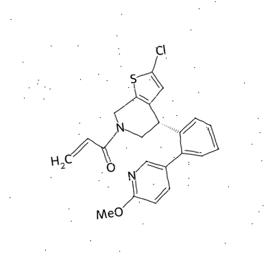 C=CC(=O)N1Cc2sc(Cl)cc2[C@H](c2ccccc2-c2ccc(OC)nc2)C1